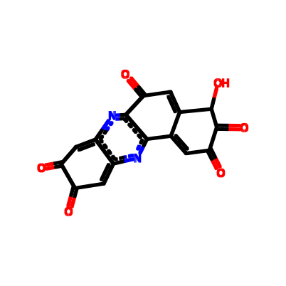 O=C1C=c2nc3c(nc2=CC1=O)C1=CC(=O)C(=O)C(O)C1=CC3=O